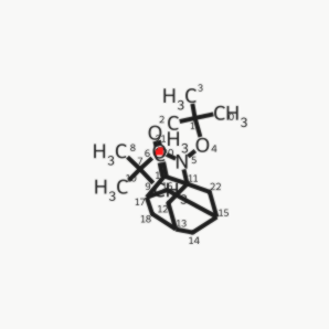 CC(C)(C)ON(OC(C)(C)C)C12CC3CC(CC(C3)C1=C=O)C2